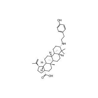 C=C(C)[C@@H]1CC[C@]2(C(=O)O)CC[C@]3(C)[C@H](CC[C@@H]4[C@@]5(C)CC[C@H](NCCc6ccc(O)cc6)C(C)(C)[C@@H]5CC[C@]43C)[C@@H]12